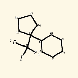 FC(F)(F)C1(C2CCCCC2)CCCC1